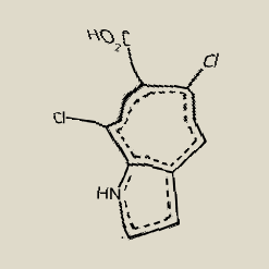 O=C(O)c1c(Cl)cc2c[c][nH]c2c1Cl